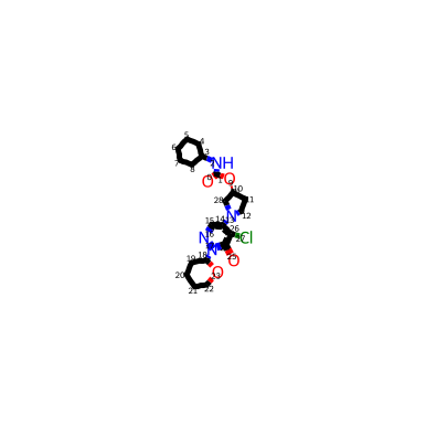 O=C(NC1CCCCC1)O[C@@H]1CCN(c2cnn(C3CCCCO3)c(=O)c2Cl)C1